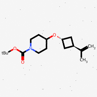 C=C(C)[C@H]1C[C@H](OC2CCN(C(=O)OC(C)(C)C)CC2)C1